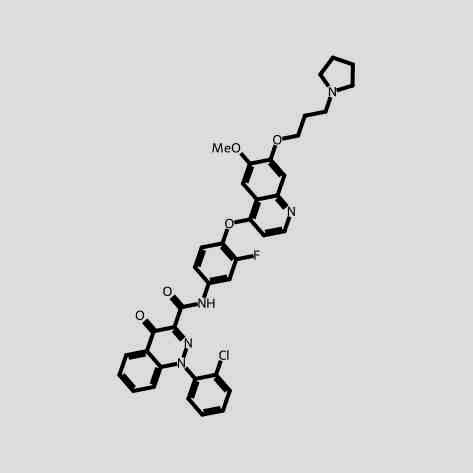 COc1cc2c(Oc3ccc(NC(=O)c4nn(-c5ccccc5Cl)c5ccccc5c4=O)cc3F)ccnc2cc1OCCCN1CCCC1